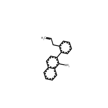 C=CCc1ccccc1-c1ccc2ccccc2c1N